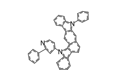 c1ccc(-c2cc(-n3c4ccccc4c4ccc5cc6c(cc5c43)c3ccccc3n6-c3ccccc3)ccn2)cc1